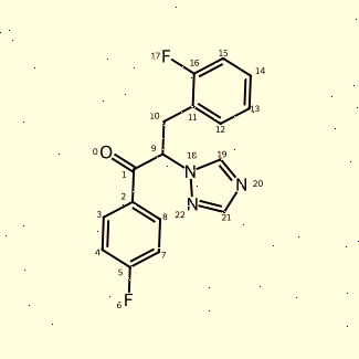 O=C(c1ccc(F)cc1)C(Cc1ccccc1F)n1cncn1